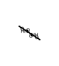 CCCCOCCCNC(=O)CCCCC(=O)NCCCOCCCC